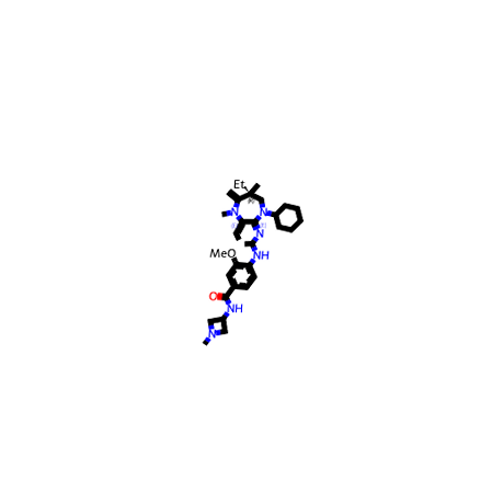 C=C1N(C)C(=C/C)/C(=N\C(C)Nc2ccc(C(=O)NC3CN(C)C3)cc2OC)N(C2CCCCC2)C[C@@]1(C)CC